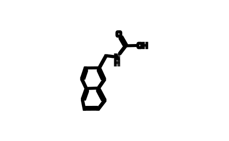 O=C(O)NCc1ccc2ccccc2c1